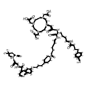 N#C[C@H]1CC(F)(F)CN1C(=O)CNC(=O)c1ccnc2ccc(OCCCC3CCN(C(=O)CCCCCNC(=O)[C@H](CCCCNC(=O)CCCc4ccc(I)cc4)NC(=O)CN4CCN(CC(=O)O)CCN(CC(=O)O)CCN(CC(=O)O)CC4)CC3)cc12